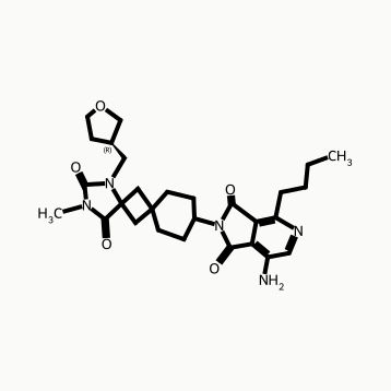 CCCCc1ncc(N)c2c1C(=O)N(C1CCC3(CC1)CC1(C3)C(=O)N(C)C(=O)N1C[C@H]1CCOC1)C2=O